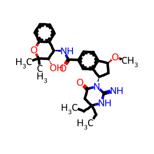 CCC1(CC)CC(=O)N([C@H]2C[C@H](OC)c3ccc(C(=O)N[C@@H]4c5ccccc5OC(C)(C)[C@H]4O)cc32)C(=N)N1